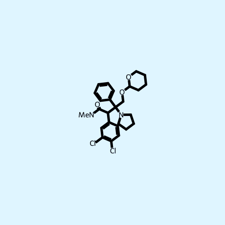 CNC(=O)C(c1ccc(Cl)c(Cl)c1)C(COC1CCCCO1)(c1ccccc1)N1CCCC1